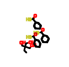 CCC(CO)(CO)CO.O=C(S)c1ccccc1.O=C(S)c1ccccc1.O=C(S)c1ccccc1